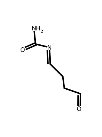 NC(=O)N=CCCC=O